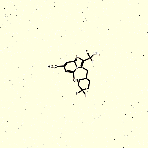 CC(F)(F)c1nc2cc(C(=O)O)cc(C#N)n2c1CC1CCC(F)(F)CC1